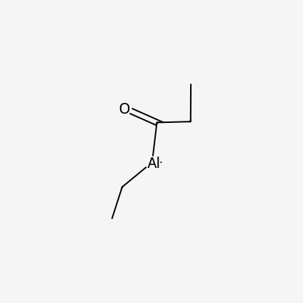 C[CH2][Al][C](=O)CC